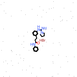 Br.N=C(Nc1cccc(CCC(=O)Nc2ccccc2)c1)N1CCCC1